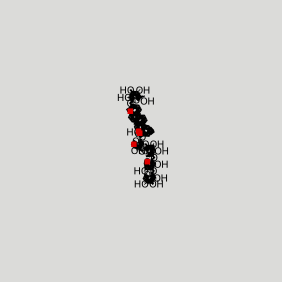 CC1(C)CC[C@@]2(C(=O)O[C@@H]3OC[C@H](O)[C@H](O)[C@H]3O[C@@H]3OC[C@H](O[C@@H]4OC[C@@H](O)[C@H](O[C@@H]5OC[C@@H](O)[C@H](O)[C@H]5O)[C@H]4O)[C@@H](O)[C@H]3O)C(C1)C1=CCC3[C@@]4(C)CC[C@H](O[C@@H]5O[C@H](CO)[C@@H](O)[C@H](O)[C@H]5O)C(C)(C)C4CC[C@@]3(C)[C@]1(C)C[C@H]2O